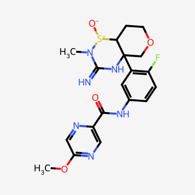 COc1cnc(C(=O)Nc2ccc(F)c(C34COCCC3[S+]([O-])N(C)C(=N)N4)c2)cn1